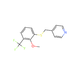 COc1c(C(F)(F)F)[c]ccc1SCc1ccncc1